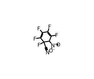 N#CC1(F)C(F)=C(F)C(F)=C(F)C1[N+](=O)[O-]